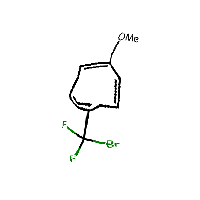 COc1ccc(C(F)(F)Br)cc1